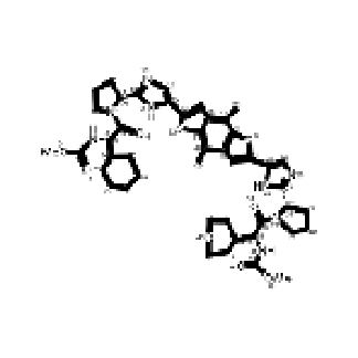 COC(=O)N[C@H](C(=O)N1CCC[C@H]1c1ncc(-c2cc3c(C)c4sc(-c5cnc([C@@H]6CCCN6C(=O)[C@@H](NC(=O)OC)C6CCOCC6)[nH]5)cc4c(C)c3s2)[nH]1)C1CCCCC1